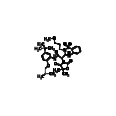 COCCCN1C(C(C(=O)Nc2cc(C(C)(C)C)ccc2OCC(C)C)N2C(=O)OC(C)(C)C2=O)Nc2ccccc2S1(=O)=O